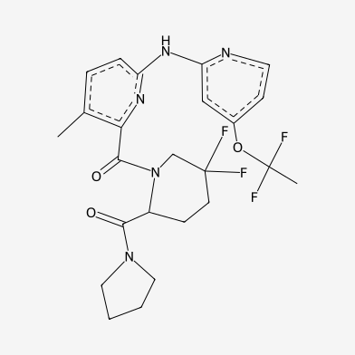 Cc1ccc(Nc2cc(OC(C)(F)F)ccn2)nc1C(=O)N1CC(F)(F)CCC1C(=O)N1CCCC1